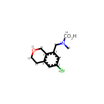 CN(Cc1cc(Br)cc2c1COCC2)C(=O)O